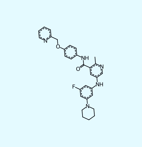 Cc1ncc(Nc2cc(F)cc(N3CCCCC3)c2)cc1C(=O)Nc1ccc(OCc2ccccn2)cc1